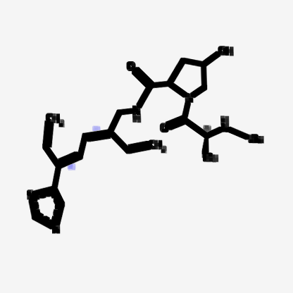 C=C/C(=C\C=C(/C=C)c1cncs1)CNC(=O)C1CC(O)CN1C(=O)[C@@H](NC(C)(C)C)C(C)(C)C